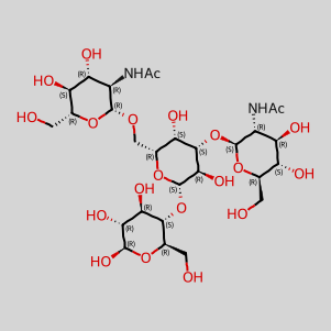 CC(=O)N[C@H]1[C@H](OC[C@H]2O[C@@H](O[C@H]3[C@H](O)[C@@H](O)[C@H](O)O[C@@H]3CO)[C@H](O)[C@@H](O[C@@H]3O[C@H](CO)[C@@H](O)[C@H](O)[C@H]3NC(C)=O)[C@H]2O)O[C@H](CO)[C@@H](O)[C@@H]1O